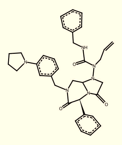 C=CCN(C(=O)NCc1ccccc1)N1CC(=O)N2C1CN(Cc1cccc(N3CCCC3)c1)C(=O)[C@@H]2c1ccccc1